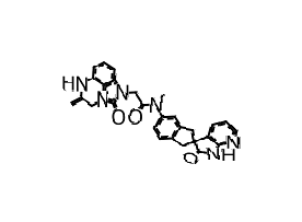 C=C1Cn2c(=O)n(CC(=O)N(C)c3ccc4c(c3)CC3(C4)C(=O)Nc4ncccc43)c3cccc(c32)N1